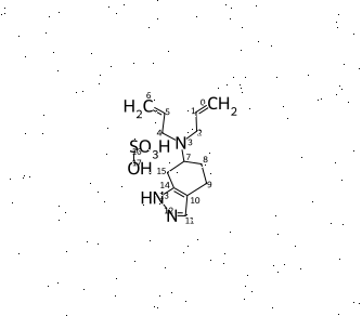 C=CCN(CC=C)C1CCc2cn[nH]c2C1.O=S(=O)(O)O